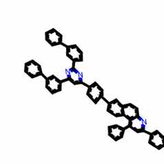 c1ccc(-c2cccc(-c3cc(-c4ccc(-c5ccc6c(ccc7nc(-c8ccccc8)cc(-c8ccccc8)c76)c5)cc4)nc(-c4cccc(-c5ccccc5)c4)n3)c2)cc1